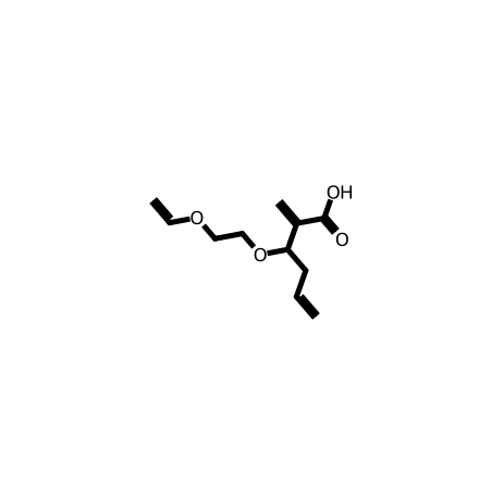 C=CCC(OCCOC=C)C(=C)C(=O)O